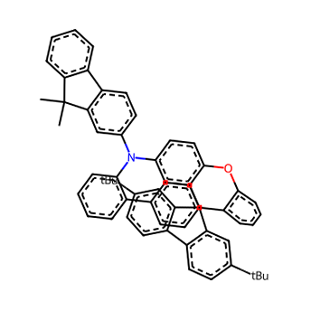 CC(C)(C)c1ccc2c(c1)C1(c3ccccc3Oc3ccc(N(c4ccc5c(c4)C(C)(C)c4ccccc4-5)c4ccccc4-c4ccccc4)cc31)c1cc(C(C)(C)C)ccc1-2